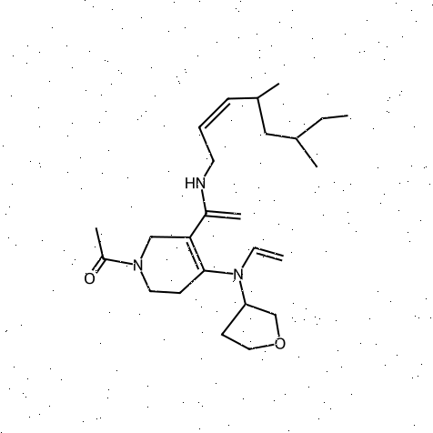 C=CN(C1=C(C(=C)NC/C=C\C(C)CC(C)CC)CN(C(C)=O)CC1)C1CCOC1